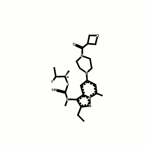 CCc1nn2c(C)cc(N3CCN(C(=O)C4COC4)CC3)cc2c1N(C)C(=N)S[C@H](C)C(C)F